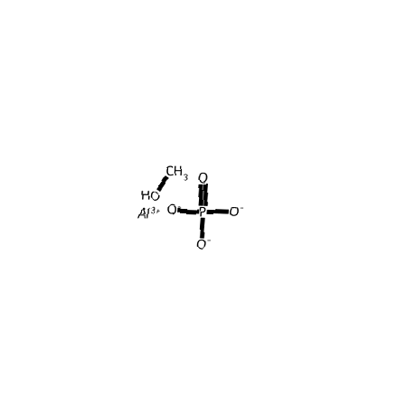 CO.O=P([O-])([O-])[O-].[Al+3]